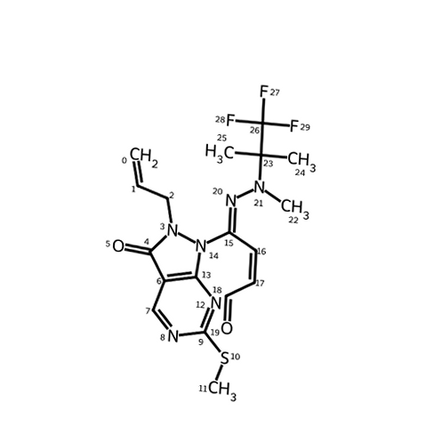 C=CCn1c(=O)c2cnc(SC)nc2n1C(/C=C\C=O)=N/N(C)C(C)(C)C(F)(F)F